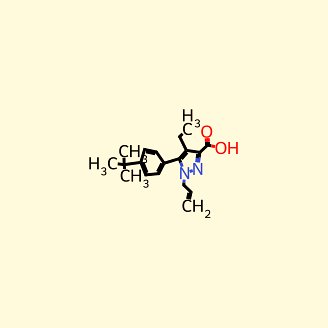 C=CCn1nc(C(=O)O)c(CC)c1-c1ccc(C(C)(C)C)cc1